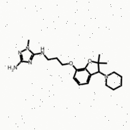 Cn1nc(N)nc1NCCCOc1cccc2c1OC(C)(C)C2N1CCCCC1